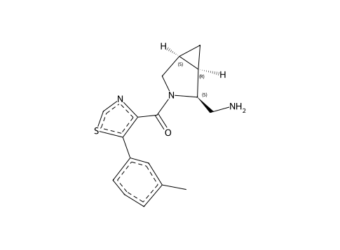 Cc1cccc(-c2scnc2C(=O)N2C[C@H]3C[C@H]3[C@H]2CN)c1